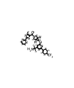 Cc1nc(-c2ncccn2)sc1C(=O)N1C[C@@H]2[C@H](C1)[C@@H]2Oc1cc(C(C)(C)N)cc(C2=CCC(C(F)(F)F)CC2)n1